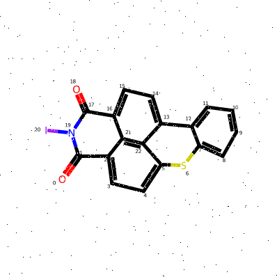 O=c1c2ccc3sc4ccccc4c4ccc(c(=O)n1I)c2c34